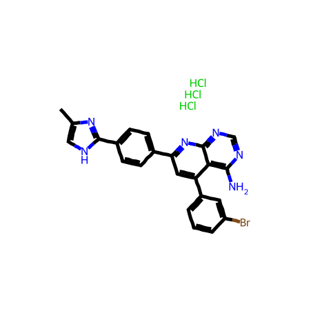 Cc1c[nH]c(-c2ccc(-c3cc(-c4cccc(Br)c4)c4c(N)ncnc4n3)cc2)n1.Cl.Cl.Cl